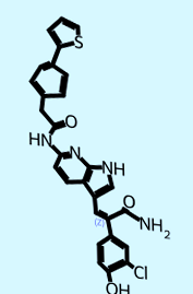 NC(=O)/C(=C\c1c[nH]c2nc(NC(=O)Cc3ccc(-c4cccs4)cc3)ccc12)c1ccc(O)c(Cl)c1